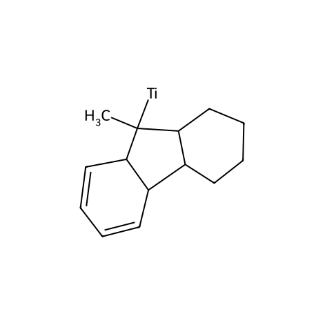 C[C]1([Ti])C2C=CC=CC2C2CCCCC21